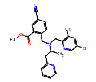 COC(=O)c1cc(C#N)ccc1CN(Cc1ncc(Cl)cc1C)C(C)Cc1ccccn1